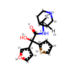 O=C(N[C@H]1CN2CCC1CC2)C(O)(c1ccoc1)c1cccs1